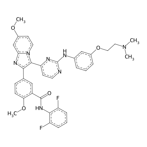 COc1ccn2c(-c3ccnc(Nc4cccc(OCCN(C)C)c4)n3)c(-c3ccc(OC)c(C(=O)Nc4c(F)cccc4F)c3)nc2c1